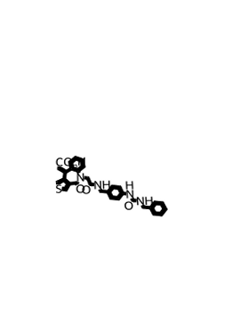 O=C(O)C=C1c2cscc2C(=O)N(CC(=O)NCc2ccc(NC(=O)NCc3ccccc3)cc2)c2ccccc21